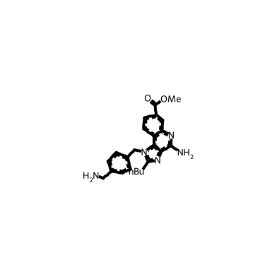 CCCCc1nc2c(N)nc3cc(C(=O)OC)ccc3c2n1Cc1ccc(CN)cc1